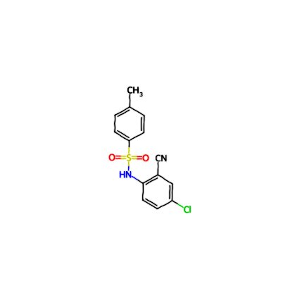 Cc1ccc(S(=O)(=O)Nc2ccc(Cl)cc2C#N)cc1